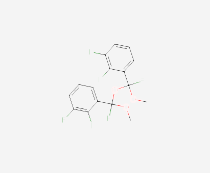 COC(F)(OC(F)(OC)c1cccc(F)c1F)c1cccc(F)c1F